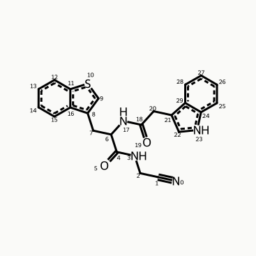 N#CCNC(=O)C(Cc1csc2ccccc12)NC(=O)Cc1c[nH]c2ccccc12